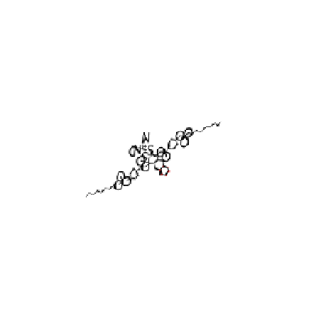 [C-]#[N+]C(C#N)=C1Sc2c(OC(=O)c3ccc(OC(=O)OCCCCCCCC)cc3)c3c(c(OC(=O)c4ccc(OC(=O)OCCCCCCCC)cc4)c2S1)C1c2ccccc2C3c2ccccc21